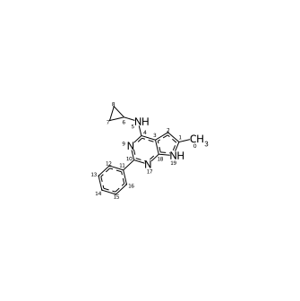 Cc1cc2c(NC3CC3)nc(-c3ccccc3)nc2[nH]1